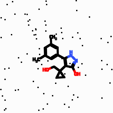 Cc1cc(C)cc(-c2[nH]nc(O)c2C2(CO)CC2)c1